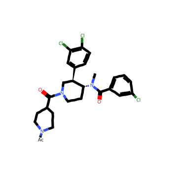 CC(=O)N1CCC(C(=O)N2CC[C@@H](N(C)C(=O)c3cccc(Cl)c3)[C@H](c3ccc(Cl)c(Cl)c3)C2)CC1